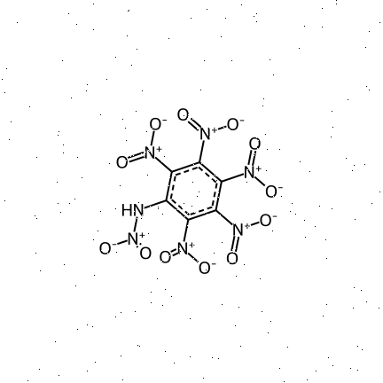 O=[N+]([O-])Nc1c([N+](=O)[O-])c([N+](=O)[O-])c([N+](=O)[O-])c([N+](=O)[O-])c1[N+](=O)[O-]